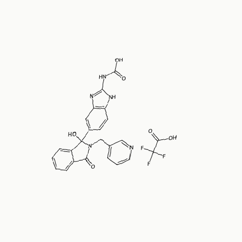 O=C(O)C(F)(F)F.O=C(O)Nc1nc2cc(C3(O)c4ccccc4C(=O)N3Cc3cccnc3)ccc2[nH]1